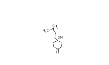 CN(C)CCC1(O)CCNCC1